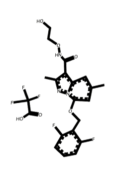 Cc1cc(OCc2c(F)cccc2F)n2nc(C)c(C(=O)NOCCO)c2c1.O=C(O)C(F)(F)F